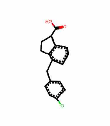 O=C(O)C1CCc2c(Cc3ccc(Cl)cc3)cccc21